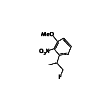 COc1cccc([C](C)CF)c1[N+](=O)[O-]